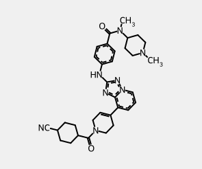 CN1CCC(N(C)C(=O)c2ccc(Nc3nc4c(C5=CCN(C(=O)C6CCC(C#N)CC6)CC5)cccn4n3)cc2)CC1